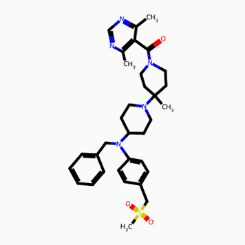 Cc1ncnc(C)c1C(=O)N1CCC(C)(N2CCC(N(Cc3ccccc3)c3ccc(CS(C)(=O)=O)cc3)CC2)CC1